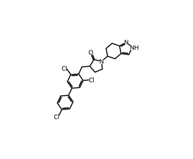 O=C1C(Cc2c(Cl)cc(-c3ccc(Cl)cc3)cc2Cl)CCN1C1CCc2n[nH]cc2C1